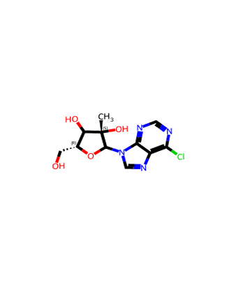 C[C@]1(O)C(O)[C@@H](CO)OC1n1cnc2c(Cl)ncnc21